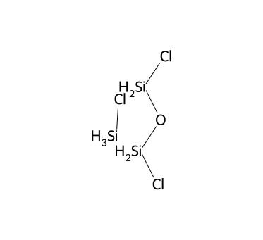 Cl[SiH2]O[SiH2]Cl.[SiH3]Cl